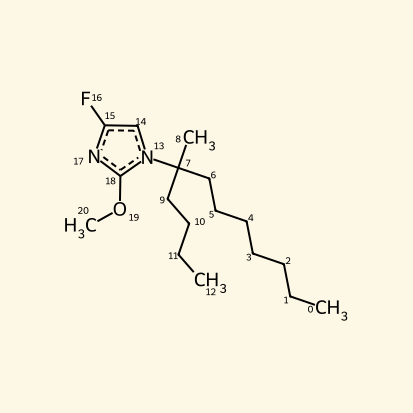 CCCCCCCC(C)(CCCC)n1cc(F)nc1OC